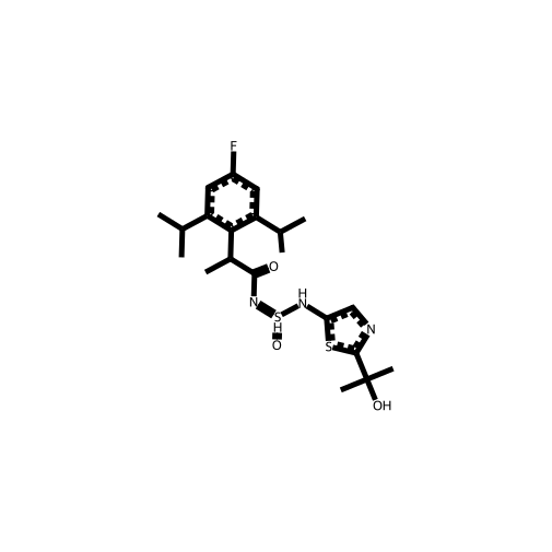 CC(C)c1cc(F)cc(C(C)C)c1C(C)C(=O)/N=[SH](=O)\Nc1cnc(C(C)(C)O)s1